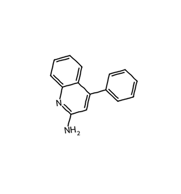 Nc1cc(-c2ccccc2)c2ccccc2n1